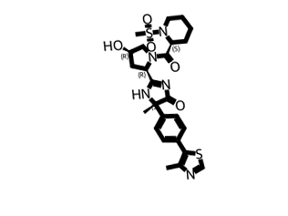 Cc1ncsc1-c1ccc([C@]2(C)NC([C@H]3C[C@@H](O)CN3C(=O)[C@@H]3CCCCN3S(C)(=O)=O)=NC2=O)cc1